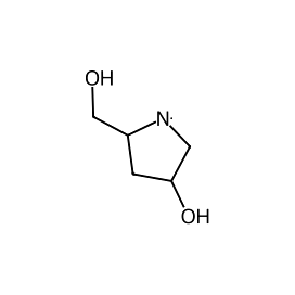 OCC1CC(O)C[N]1